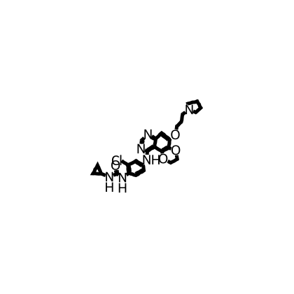 O=C(Nc1ccc(Nc2ncnc3cc(OCCCN4CCCC4)c4c(c23)OCCO4)cc1Cl)NC1CC1